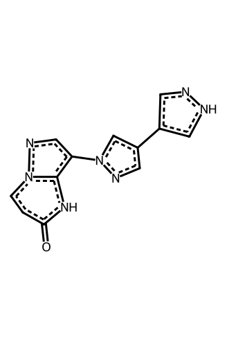 O=c1ccn2ncc(-n3cc(-c4cn[nH]c4)cn3)c2[nH]1